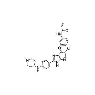 C=CC(=O)Nc1cccc(Oc2c(Cl)cnc3[nH]c(-c4ccc(NC5CCN(C)CC5)cc4)nc23)c1